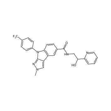 Cn1cc2c3cc(C(=O)NCC(O)c4ccccn4)ccc3n(-c3ccc(C(F)(F)F)cc3)c2n1